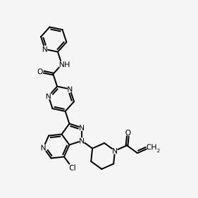 C=CC(=O)N1CCCC(n2nc(-c3cnc(C(=O)Nc4ccccn4)nc3)c3cncc(Cl)c32)C1